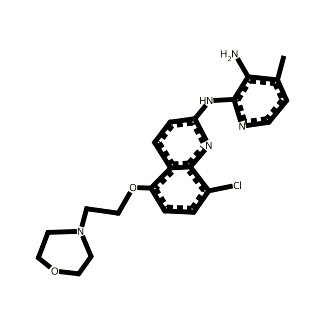 Cc1ccnc(Nc2ccc3c(OCCN4CCOCC4)ccc(Cl)c3n2)c1N